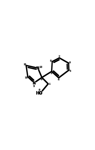 OCC1(c2ccccc2)N=CC=N1